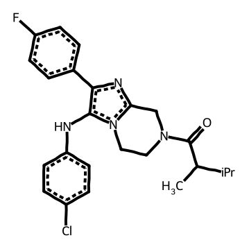 CC(C)C(C)C(=O)N1CCn2c(nc(-c3ccc(F)cc3)c2Nc2ccc(Cl)cc2)C1